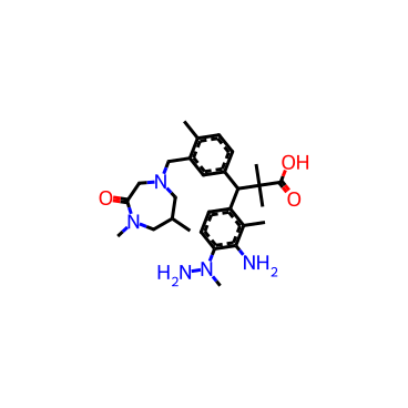 Cc1ccc(C(c2ccc(N(C)N)c(N)c2C)C(C)(C)C(=O)O)cc1CN1CC(=O)N(C)CC(C)C1